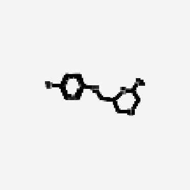 CC(=O)C1COCC(COc2ccc(Br)cc2)O1